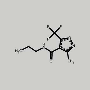 CCCNC(=O)c1c(C)noc1C(F)(F)F